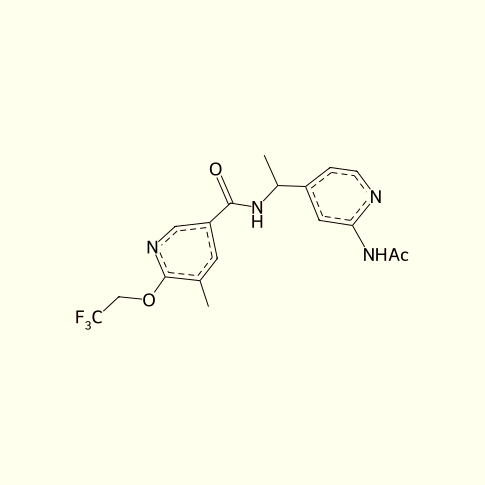 CC(=O)Nc1cc(C(C)NC(=O)c2cnc(OCC(F)(F)F)c(C)c2)ccn1